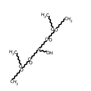 CCCCCCCCOC(CCCCC(=O)OCCCCCCN(CCCCO)CCCCCCOC(=O)CCCCC(OCCCCCCCC)OCCCCCCCC)OCCCCCCCC